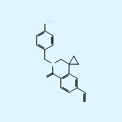 C=Cc1ccc2c(c1)C1(CC1)CN(Cc1ccc(OC)cc1)C2=O